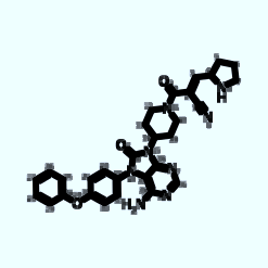 N#CC(=CC1CCCN1)C(=O)N1CCC(n2c(=O)n(-c3ccc(Oc4ccccc4)cc3)c3c(N)ncnc32)CC1